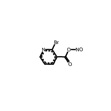 O=NOC(=O)c1cccnc1Br